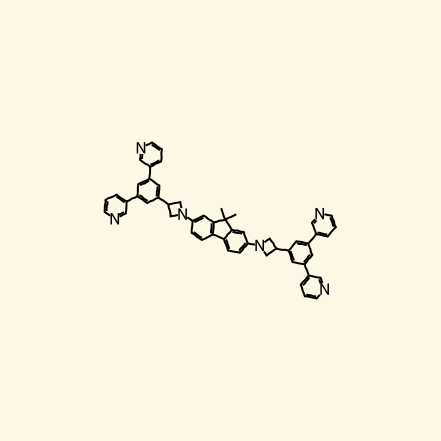 CC1(C)c2cc(N3CC(c4cc(-c5cccnc5)cc(-c5cccnc5)c4)C3)ccc2-c2ccc(N3CC(c4cc(-c5cccnc5)cc(-c5cccnc5)c4)C3)cc21